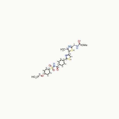 COC(=O)NCc1nc(C)c(-c2csc(-c3ccc(C(=O)NS(=O)(=O)c4ccc(OCC(=O)O)cc4)cc3)n2)s1